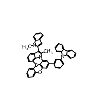 Cc1c(-c2cc3ccccc3n2C)c2cccc3c2n1-c1cc(-c2cccc(-n4c5ccccc5c5ccccc54)c2)cc2c1B3c1ccccc1O2